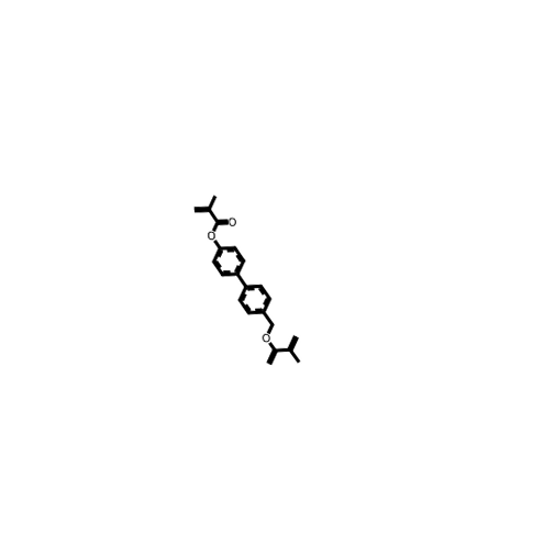 C=C(C)C(=C)OCc1ccc(-c2ccc(OC(=O)C(=C)C)cc2)cc1